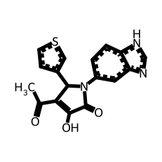 CC(=O)C1=C(O)C(=O)N(c2ccc3[nH]cnc3c2)C1c1ccsc1